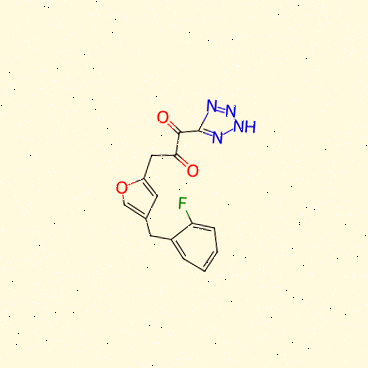 O=C(Cc1cc(Cc2ccccc2F)co1)C(=O)c1nn[nH]n1